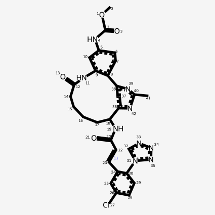 COC(=O)Nc1ccc2c(c1)NC(=O)CCCCC(NC(=O)/C=C/c1cc(Cl)ccc1-n1cnnn1)c1cc-2nc(C)n1